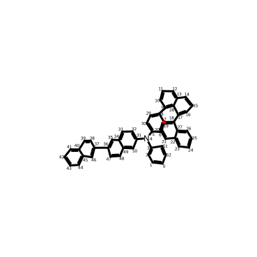 c1ccc(N(c2ccc(-c3cccc4cccc(-c5cccc6ccccc56)c34)cc2)c2ccc3cc(-c4ccc5ccccc5c4)ccc3c2)cc1